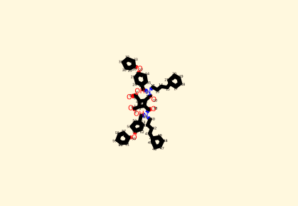 O=C(O)C1C(C(=O)O)C(C(=O)N(CCCCc2ccccc2)Cc2ccc(Oc3ccccc3)cc2)C1C(=O)N(CCCCc1ccccc1)Cc1ccc(Oc2ccccc2)cc1